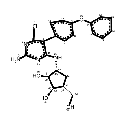 Nc1nc(Cl)c(-c2ccc(Oc3ccccc3)cc2)c(N[C@@H]2C[C@H](CO)[C@@H](O)[C@H]2O)n1